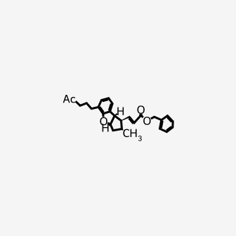 CC(=O)CCCc1cccc2c1O[C@H]1C[C@@H](C)[C@H](/C=C/C(=O)OCc3ccccc3)[C@@H]21